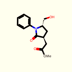 COC(=O)C[C@@H]1C[C@@H](CO)N(c2ccccc2)C1=O